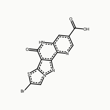 O=C(O)c1cnc2c(c1)[nH]c(=O)c1c2nn2cc(Br)sc12